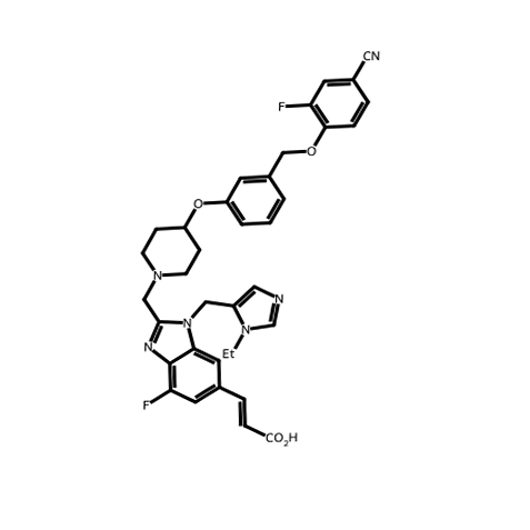 CCn1cncc1Cn1c(CN2CCC(Oc3cccc(COc4ccc(C#N)cc4F)c3)CC2)nc2c(F)cc(/C=C/C(=O)O)cc21